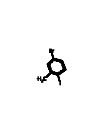 [CH2]c1cc(Br)ccc1I